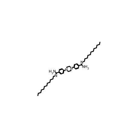 CCCCCCCCCCCCN=C(N)c1ccc(N2CCN(c3ccc(C(N)=NCCCCCCCCCCCC)cc3)CC2)cc1